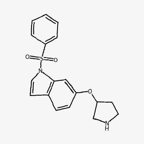 O=S(=O)(c1ccccc1)n1ccc2ccc(OC3CCNC3)cc21